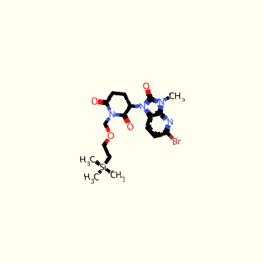 Cn1c(=O)n(C2CCC(=O)N(COCC[Si](C)(C)C)C2=O)c2ccc(Br)nc21